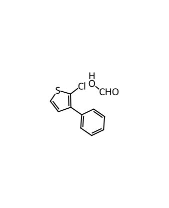 Clc1sccc1-c1ccccc1.O=CO